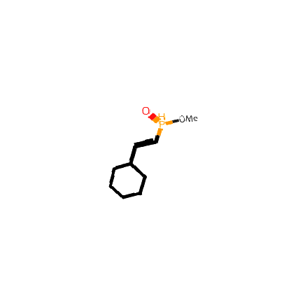 CO[PH](=O)C=CC1CCCCC1